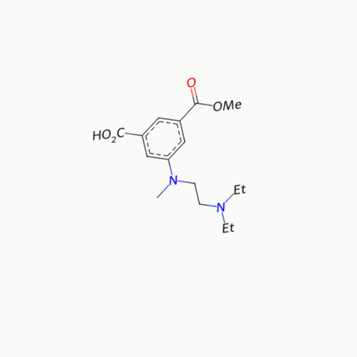 CCN(CC)CCN(C)c1cc(C(=O)O)cc(C(=O)OC)c1